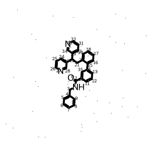 O=C(NCc1ccccc1)c1cccc(-c2ccccc2CC(c2cccnc2)c2cccnc2)c1